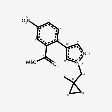 COC(=O)c1cc([N+](=O)[O-])ccc1-c1cnn(CC2(C)CC2)c1